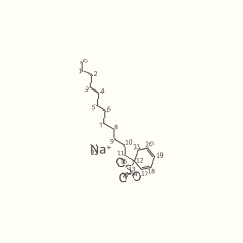 CCCCCCCCCCCCC1(S(=O)(=O)[O-])C=CC=CC1.[Na+]